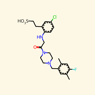 Cc1cc(CN2CCN(C(=O)CNc3ccc(Cl)cc3CCS(=O)(=O)O)CC2)c(C)cc1F